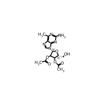 CC(=O)OC1C(OC(C)=O)[C@@H](CO)O[C@H]1n1cnc2c(C)nc(N)nc21